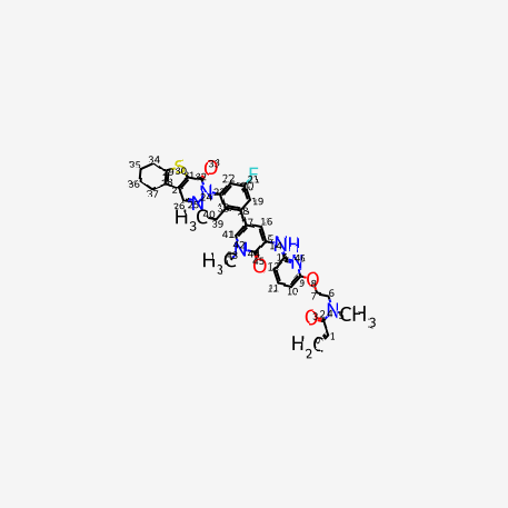 C=CC(=O)N(C)CCOc1cccc(Nc2cc(-c3cc(F)cc(-n4ncc5c6c(sc5c4=O)CCCC6)c3CC)cn(C)c2=O)n1